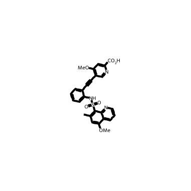 COc1cc(C(=O)O)ncc1C#Cc1ccccc1NS(=O)(=O)c1c(C)cc(OC)c2cccnc12